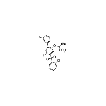 CC(C)(C)C(Oc1cc(S(=O)(=O)c2ccccc2Cl)c(F)cc1-c1cccc(F)c1)C(=O)O